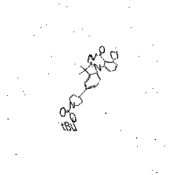 CC(C)(C)OC(=O)N1CCC(c2ccc3c(c2)C(C)(C)c2nc(=O)c4c(Cl)cccc4n2-3)CC1